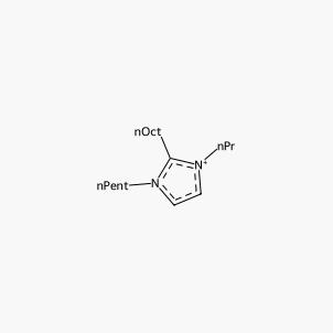 CCCCCCCCc1n(CCCCC)cc[n+]1CCC